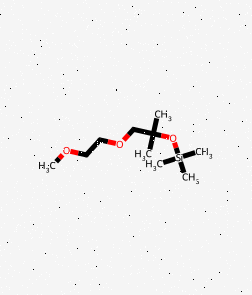 COCCOCC(C)(C)O[Si](C)(C)C